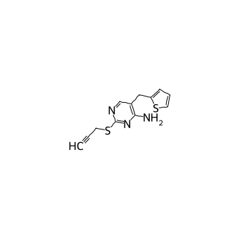 C#CCSc1ncc(Cc2cccs2)c(N)n1